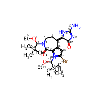 CCOC(N1CC/C(=C2\NC(N)=NC2=O)c2cc(Br)n(C(OCC)[Si](C)(C)C)c2C1=O)[Si](C)(C)C